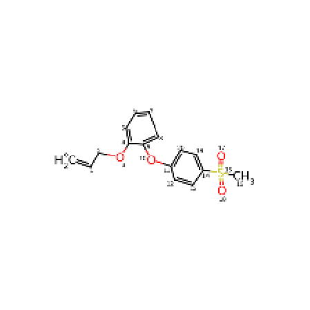 C=CCOc1ccccc1Oc1ccc(S(C)(=O)=O)cc1